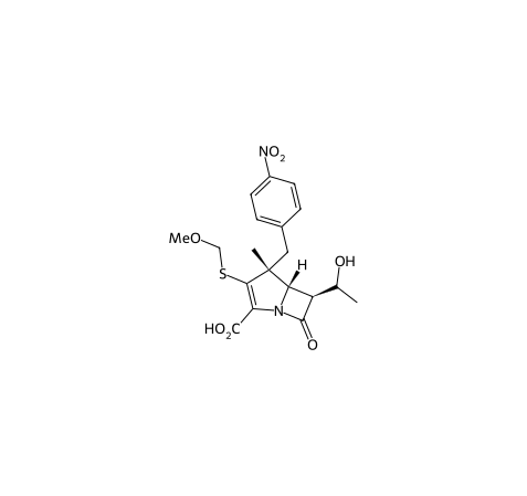 COCSC1=C(C(=O)O)N2C(=O)[C@H](C(C)O)[C@H]2[C@@]1(C)Cc1ccc([N+](=O)[O-])cc1